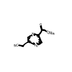 COC(=O)c1cnc(CC#N)cn1